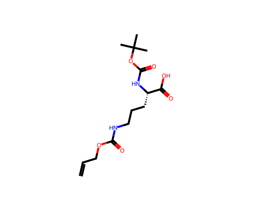 C=CCOC(=O)NCCC[C@H](NC(=O)OC(C)(C)C)C(=O)O